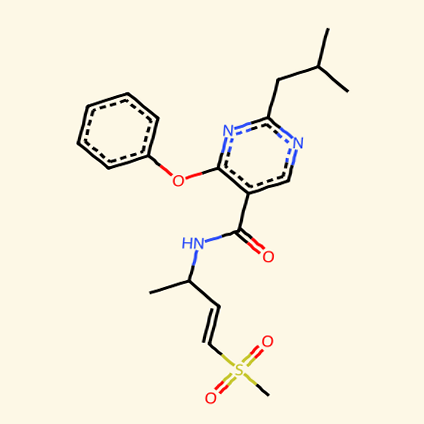 CC(C)Cc1ncc(C(=O)NC(C)C=CS(C)(=O)=O)c(Oc2ccccc2)n1